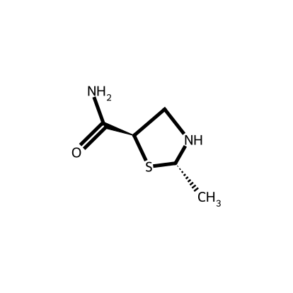 C[C@H]1NC[C@H](C(N)=O)S1